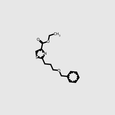 CCOC(=O)c1csc(CCCOCc2ccccc2)n1